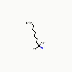 CCCCCCCCCCCCCCCC(N)(CCC)CCC